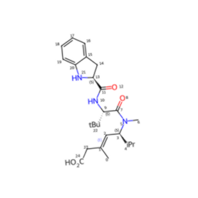 C/C(=C\[C@H](C(C)C)N(C)C(=O)[C@@H](NC(=O)[C@@H]1Cc2ccccc2N1)C(C)(C)C)CC(=O)O